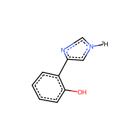 [3H]n1cnc(-c2ccccc2O)c1